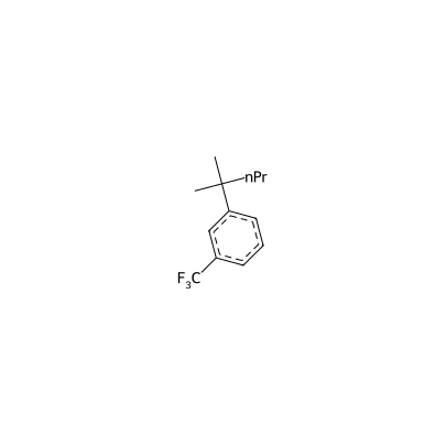 CCCC(C)(C)c1cccc(C(F)(F)F)c1